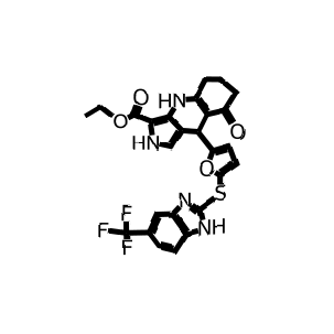 CCOC(=O)c1[nH]cc2c1NC1=C(C(=O)CCC1)C2c1ccc(Sc2nc3cc(C(F)(F)F)ccc3[nH]2)o1